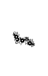 COc1ccc2c(Oc3cccc(-c4nnc(Nc5cccc(C(F)(F)F)c5)[nH]4)c3)cc(C)nc2c1